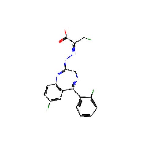 O=C(O)/C(CCl)=N\NC1=Nc2ccc(F)cc2C(c2ccccc2Cl)=NC1